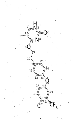 Cc1c[nH]c(=O)nc1OCCc1ccc(Oc2ccc(Cl)c(C(F)(F)F)c2)cc1